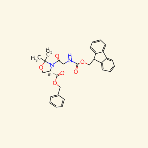 CC1(C)OC[C@@H](C(=O)OCc2ccccc2)N1C(=O)CNC(=O)OCC1c2ccccc2-c2ccccc21